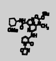 CO[C@@H]1CCC[C@@H](NC(=O)c2cnn3c(N(C)C(=O)OC(C)(C)C)cc(Nc4cccn(-c5ncco5)c4=O)nc23)C1